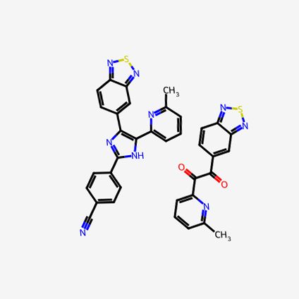 Cc1cccc(-c2[nH]c(-c3ccc(C#N)cc3)nc2-c2ccc3nsnc3c2)n1.Cc1cccc(C(=O)C(=O)c2ccc3nsnc3c2)n1